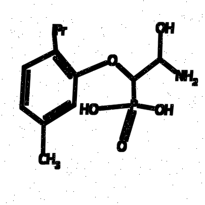 Cc1ccc(C(C)C)c(OC(C(N)O)P(=O)(O)O)c1